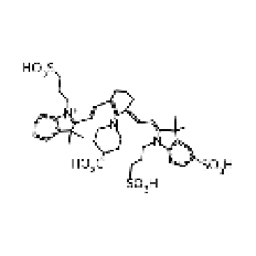 CC1(C)C(/C=C/C2=C(N3CCC(C(=O)O)CC3)C(=C/C=C3\N(CCCS(=O)(=O)O)c4ccc(S(=O)(=O)O)cc4C3(C)C)/CCC2)=[N+](CCCS(=O)(=O)O)c2ccccc21